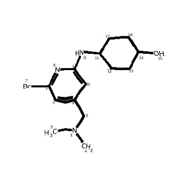 CN(C)Cc1cc(Br)nc(NC2CCC(O)CC2)c1